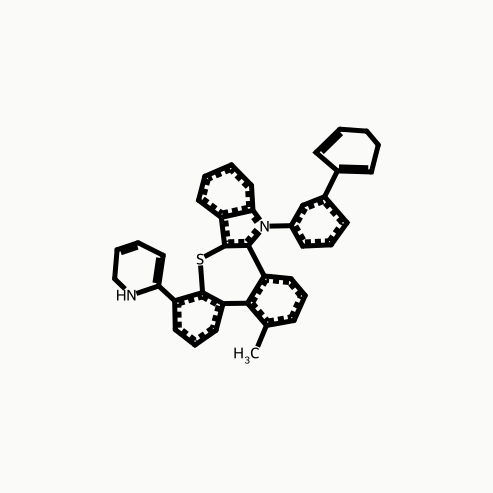 Cc1cccc2c1-c1cccc(C3=CC=CCN3)c1Sc1c-2n(-c2cccc(C3=CCCC=C3)c2)c2ccccc12